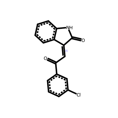 O=C1Nc2ccccc2/C1=C\C(=O)c1cccc(Cl)c1